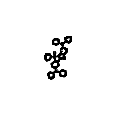 O=P1(c2ccccc2)c2ccc(N(c3ccccc3)c3ccccc3)cc2-c2oc3ccc(N(c4ccccc4)c4ccccc4)cc3c21